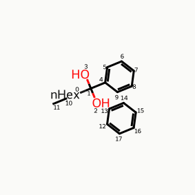 CCCCCCC(O)(O)c1ccccc1.[CH2]C.c1ccccc1